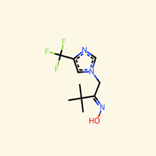 CC(C)(C)/C(Cn1cnc(C(F)(F)F)c1)=N\O